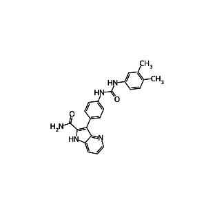 Cc1ccc(NC(=O)Nc2ccc(-c3c(C(N)=O)[nH]c4cccnc34)cc2)cc1C